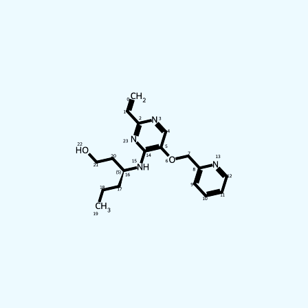 C=Cc1ncc(OCc2ccccn2)c(N[C@@H](CCC)CCO)n1